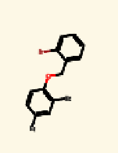 CCc1ccc(OCc2ccccc2Br)c(CC)c1